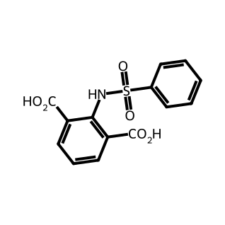 O=C(O)c1cccc(C(=O)O)c1NS(=O)(=O)c1ccccc1